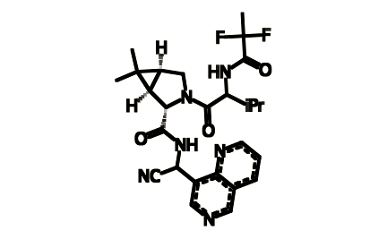 CC(C)C(NC(=O)C(C)(F)F)C(=O)N1C[C@H]2[C@@H]([C@H]1C(=O)NC(C#N)c1cncc3cccnc13)C2(C)C